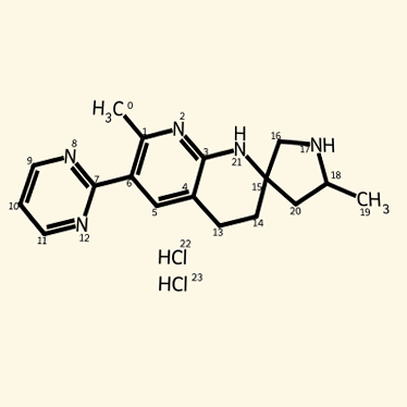 Cc1nc2c(cc1-c1ncccn1)CCC1(CNC(C)C1)N2.Cl.Cl